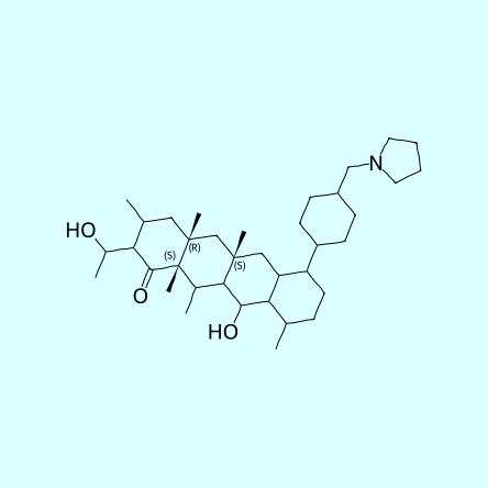 CC(O)C1C(=O)[C@@]2(C)C(C)C3C(O)C4C(C)CCC(C5CCC(CN6CCCC6)CC5)C4C[C@@]3(C)C[C@@]2(C)CC1C